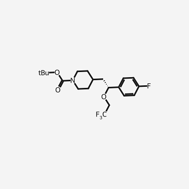 CC(C)(C)OC(=O)N1CCC(C[C@@H](OCC(F)(F)F)c2ccc(F)cc2)CC1